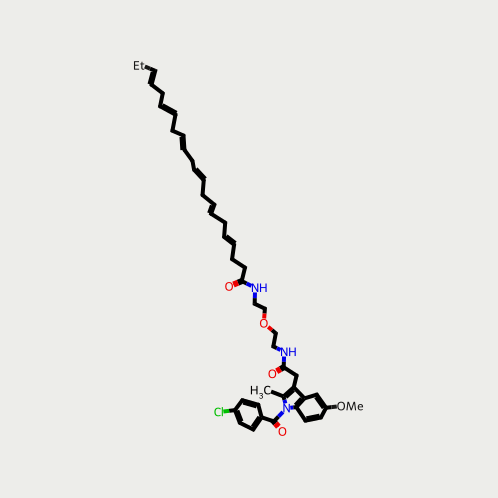 CCC=CCC=CCC=CCC=CCC=CCC=CCCC(=O)NCCOCCNC(=O)Cc1c(C)n(C(=O)c2ccc(Cl)cc2)c2ccc(OC)cc12